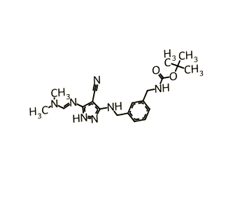 CN(C)/C=N/c1[nH]nc(NCc2cccc(CNC(=O)OC(C)(C)C)c2)c1C#N